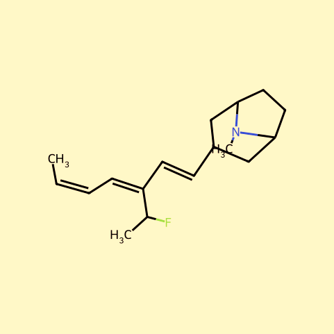 C\C=C/C=C(/C=C/C1CC2CCC(C1)N2C)C(C)F